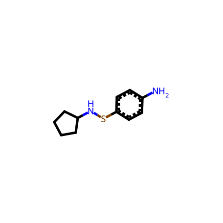 Nc1ccc(SNC2CCCC2)cc1